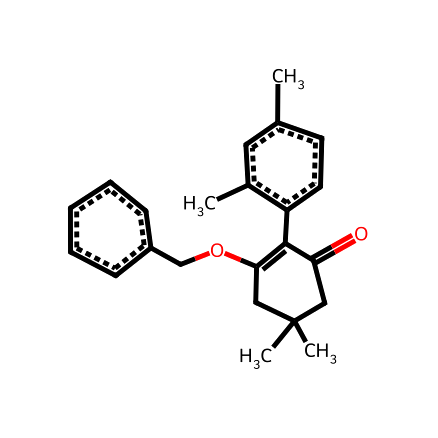 Cc1ccc(C2=C(OCc3ccccc3)CC(C)(C)CC2=O)c(C)c1